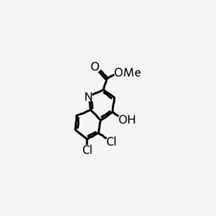 COC(=O)c1cc(O)c2c(Cl)c(Cl)ccc2n1